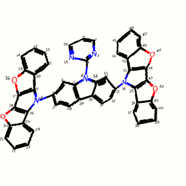 c1cnc(-n2c3cc(-n4c5c6ccccc6oc5c5oc6ccccc6c54)ccc3c3ccc(-n4c5c6ccccc6oc5c5oc6ccccc6c54)cc32)nc1